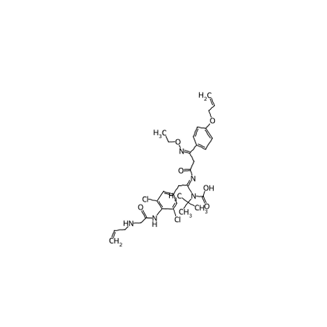 C=CCNCC(=O)Nc1c(Cl)cc(CC(=NC(=O)CC(=NOCC)c2ccc(OCC=C)cc2)N(C(=O)O)C(C)(C)C)cc1Cl